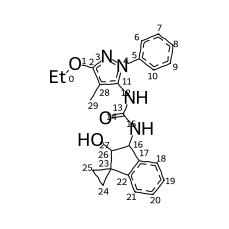 CCOc1nn(-c2ccccc2)c(NC(=O)NC2c3ccccc3C3(CC3)C2O)c1C